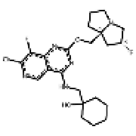 OC1(CNc2nc(OC[C@@]34CCCN3C[C@H](F)C4)nc3c(F)c(Cl)ncc23)CCCCC1